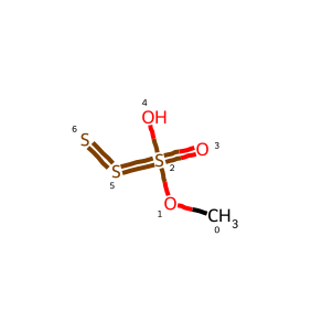 COS(=O)(O)=S=S